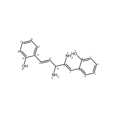 NC(=Cc1ccccc1O)C(N)C=Cc1ccccc1O